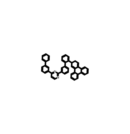 C1=c2c(c3ccccc3c3ccccc23)=CC(c2ccccc2-c2cccc(-c3nccc(-c4cccc(-c5ccccc5)c4)n3)c2)C1